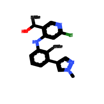 CNC(O)c1cnc(Cl)cc1Nc1cccc(-c2cnn(C)c2)c1OC